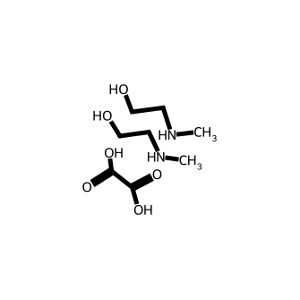 CNCCO.CNCCO.O=C(O)C(=O)O